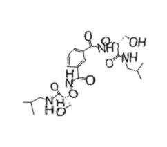 CC(C)CNC(=O)[C@@H](CO)ONC(=O)c1cccc(C(=O)NO[C@H](CO)C(=O)NCC(C)C)c1